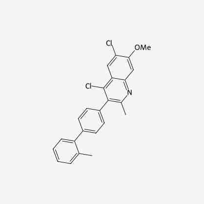 COc1cc2nc(C)c(-c3ccc(-c4ccccc4C)cc3)c(Cl)c2cc1Cl